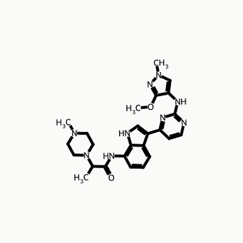 COc1nn(C)cc1Nc1nccc(-c2c[nH]c3c(NC(=O)C(C)N4CCN(C)CC4)cccc23)n1